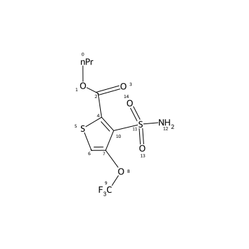 CCCOC(=O)c1scc(OC(F)(F)F)c1S(N)(=O)=O